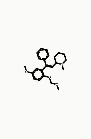 COCOc1ccc(OC)cc1/C(=C/C1CCCCN1C)c1ccccc1